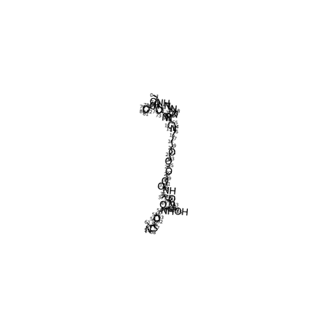 C=CC(=O)Nc1cc(-c2nn(C3CCN(CCCCCCOCCOCCOCCOCC(=O)NCC(C)(C)CC(=O)N4C[C@H](O)C[C@H]4C(=O)NCc4ccc(-c5scnc5C)cc4)CC3)c3ncnc(N)c23)ccc1Oc1ccccc1